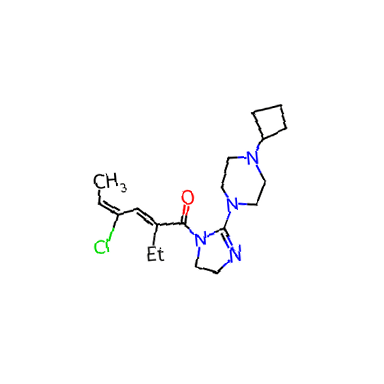 C/C=C(Cl)\C=C(/CC)C(=O)N1CCN=C1N1CCN(C2CCC2)CC1